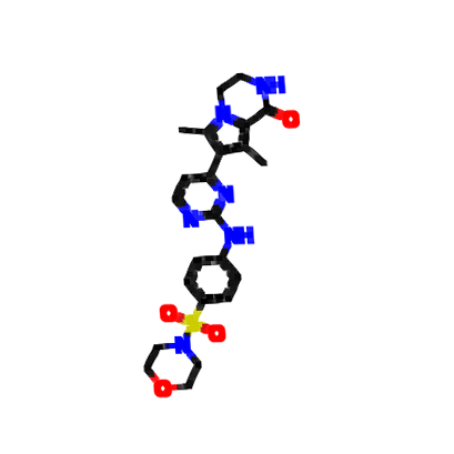 Cc1c(-c2ccnc(Nc3ccc(S(=O)(=O)N4CCOCC4)cc3)n2)c(C)n2c1C(=O)NCC2